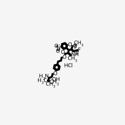 COC(=O)C1=C(C(F)(F)F)NC(C)=C(C(=O)OCCCc2ccc(OCC(O)C(N)C(C)(C)C)cc2)C1c1cccc([N+](=O)[O-])c1.Cl